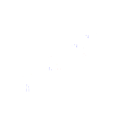 C=CC(=O)Nc1cc2c(s1)CN(S(=O)(=O)c1ccc(NC(=O)c3cc4ccccc4[nH]3)cc1)C2